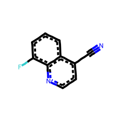 N#Cc1ccnc2c(F)cccc12